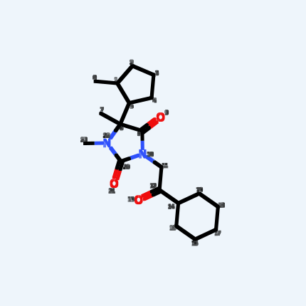 CC1CCCC1C1(C)C(=O)N(CC(=O)C2CCCCC2)C(=O)N1C